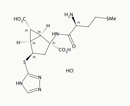 CSCC[C@H](N)C(=O)N[C@@]1(C(=O)O)C[C@@H](Sc2nnc[nH]2)[C@H]2[C@H](C(=O)O)[C@H]21.Cl